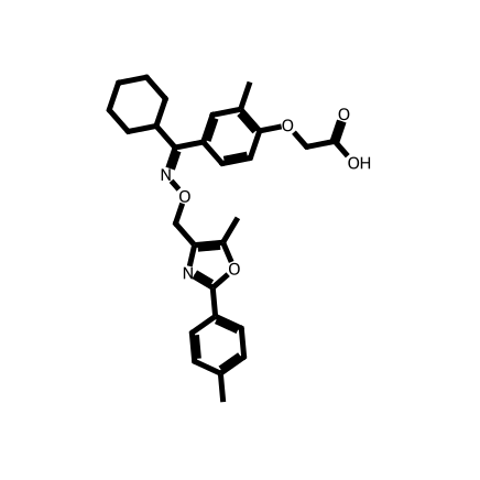 Cc1ccc(-c2nc(CON=C(c3ccc(OCC(=O)O)c(C)c3)C3CCCCC3)c(C)o2)cc1